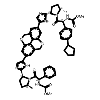 COC(=O)N[C@@H](C(=O)N1[C@@H](C)CC[C@H]1c1ncc(-c2cc3c4c(c2)OCc2cc(-c5cnc([C@@H]6CC[C@H](C)N6C(=O)[C@H](NC(=O)OC)c6ccc(C7CCCC7)cc6)[nH]5)cc(c2-4)OC3)[nH]1)c1ccccc1